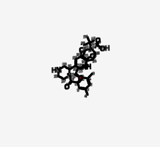 Cc1cc(C)cc(C(=O)[N+]2(C(=O)CNC3CC[N+](C(=O)O)(C(C)(C)C)CC3)CCNCC2c2ccc(Cl)c(Cl)c2)c1